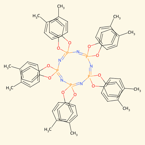 Cc1ccc(OP2(Oc3ccc(C)cc3)=NP(Oc3ccc(C)cc3)(Oc3ccc(C)cc3)=NP(Oc3ccc(C)cc3)(Oc3ccc(C)cc3)=NP(Oc3ccc(C)cc3)(Oc3ccc(C)cc3)=NP(Oc3ccc(C)cc3)(Oc3ccc(C)cc3)=N2)cc1